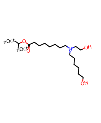 CCCCCCCCC(CCCCCCCC)OC(=O)CCCCCCCN(CCO)CCCCCCO